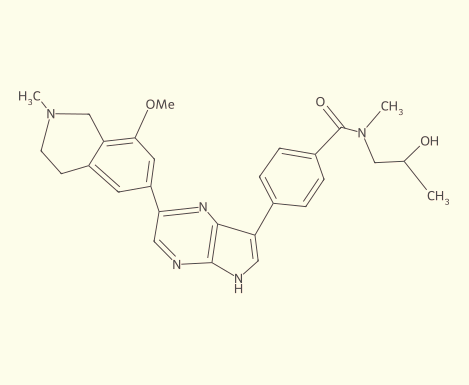 COc1cc(-c2cnc3[nH]cc(-c4ccc(C(=O)N(C)CC(C)O)cc4)c3n2)cc2c1CN(C)CC2